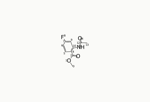 COC(=O)c1ccc(F)cc1NC(C)=O